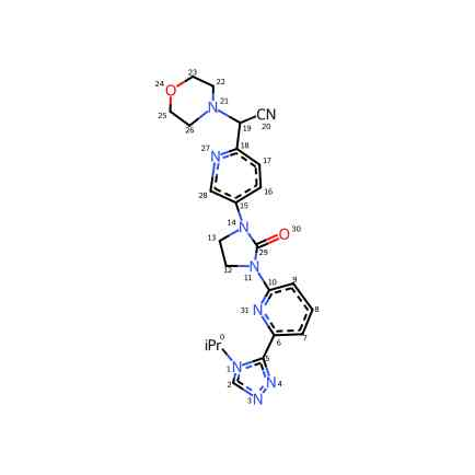 CC(C)n1cnnc1-c1cccc(N2CCN(c3ccc(C(C#N)N4CCOCC4)nc3)C2=O)n1